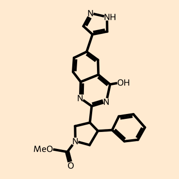 COC(=O)N1CC(c2ccccc2)C(c2nc(O)c3cc(-c4cn[nH]c4)ccc3n2)C1